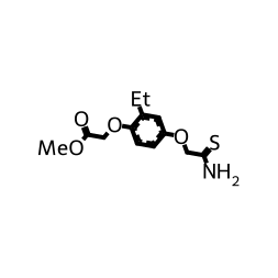 CCc1cc(OCC(N)=S)ccc1OCC(=O)OC